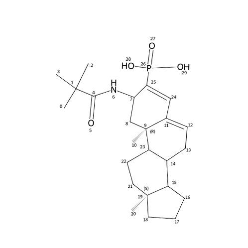 CC(C)(C)C(=O)NC1C[C@@]2(C)C(=CCC3C4CCC[C@@]4(C)CCC32)C=C1P(=O)(O)O